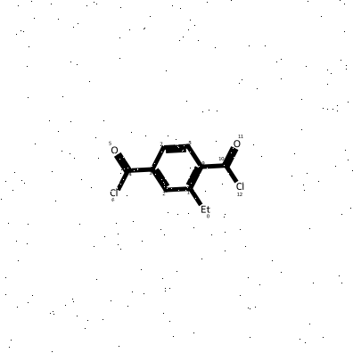 CCc1cc(C(=O)Cl)ccc1C(=O)Cl